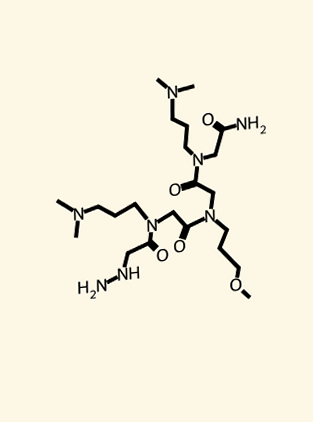 COCCCN(CC(=O)N(CCCN(C)C)CC(N)=O)C(=O)CN(CCCN(C)C)C(=O)CNN